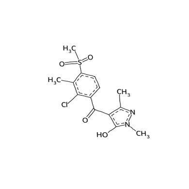 Cc1nn(C)c(O)c1C(=O)c1ccc(S(C)(=O)=O)c(C)c1Cl